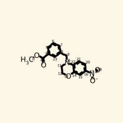 COC(=O)c1cccc(CN2CCOc3cc([N+](=O)[O-])ccc32)c1